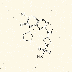 CS(=O)(=O)N1CC(Nc2ncc3cc(C#N)c(=O)n(C4CCCC4)c3n2)C1